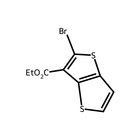 CCOC(=O)c1c(Br)sc2ccsc12